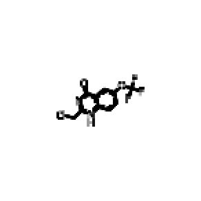 O=c1nc(CCl)[nH]c2ccc(OC(F)(F)F)cc12